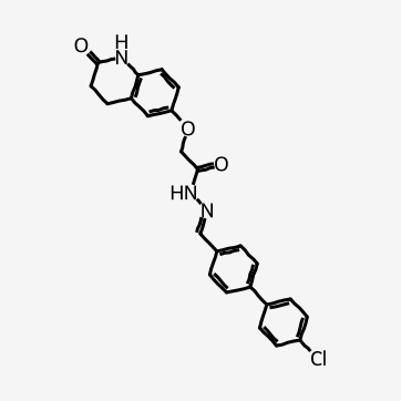 O=C(COc1ccc2c(c1)CCC(=O)N2)N/N=C/c1ccc(-c2ccc(Cl)cc2)cc1